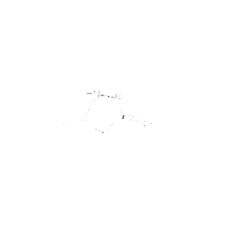 C[C]1CC(=O)NN1